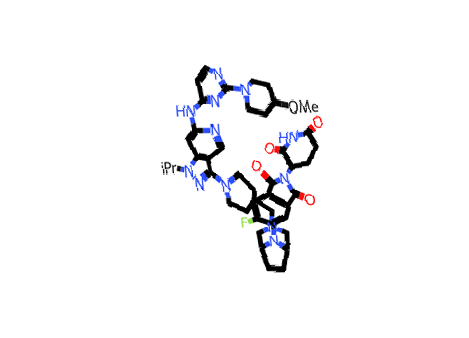 COC1CCN(c2nccc(Nc3cc4c(cn3)c(N3CCC(CN5CC6CCC(C5)N6c5cc6c(cc5F)C(=O)N(C5CCC(=O)NC5=O)C6=O)CC3)nn4C(C)C)n2)CC1